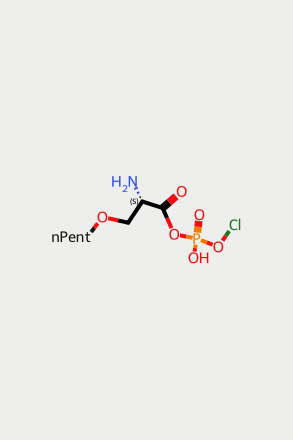 CCCCCOC[C@H](N)C(=O)OP(=O)(O)OCl